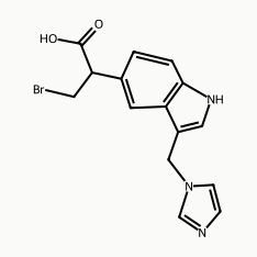 O=C(O)C(CBr)c1ccc2[nH]cc(Cn3ccnc3)c2c1